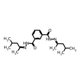 C/C(CC(C)C)=N/NC(=O)c1cccc(C(=O)N/N=C(\C)CC(C)C)c1